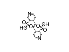 O=S(=O)(O)c1cnccc1C=Cc1ccncc1S(=O)(=O)O